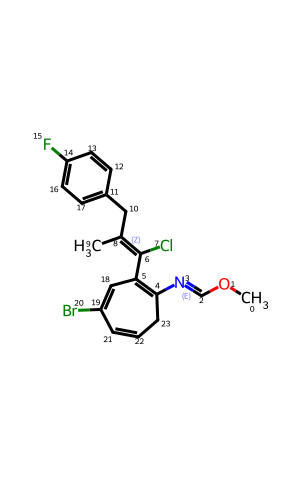 CO/C=N/C1=C(C(/Cl)=C(\C)Cc2ccc(F)cc2)C=C(Br)C=CC1